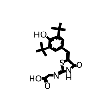 CC(C)(C)c1cc(/C=C2\S/C(=N\CC(=O)O)NC2=O)cc(C(C)(C)C)c1O